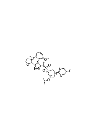 COc1cccc(OC)c1-n1c(NS(=O)(=O)[C@H]2C[C@H](OC(C)C)CN(c3ncc(F)cn3)C2)nnc1C1CCCO1